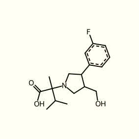 CC(C)C(C)(C(=O)O)N1CC(CO)C(c2cccc(F)c2)C1